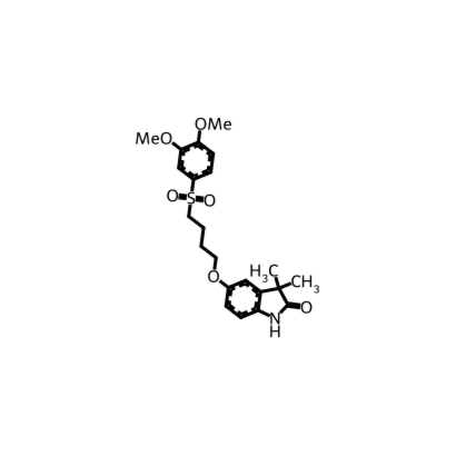 COc1ccc(S(=O)(=O)CCCCOc2ccc3c(c2)C(C)(C)C(=O)N3)cc1OC